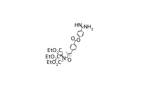 CCOC(=O)C[C@H](C(=O)OCC)N(CC(=O)OCC)C(=O)/C(C)=C/c1ccc(C(=O)Oc2ccc(C(=N)N)cc2)cc1